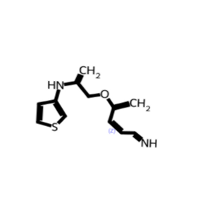 C=C(COC(=C)/C=C\C=N)Nc1ccsc1